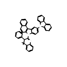 CC1(C)c2ccccc2N=C(n2c3ccc(-n4c5ccccc5c5ccccc54)cc3c3c4ccccc4ccc32)C1c1ccccc1